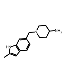 Cc1cc2ccc(CN3CCC(N)CC3)cc2[nH]1